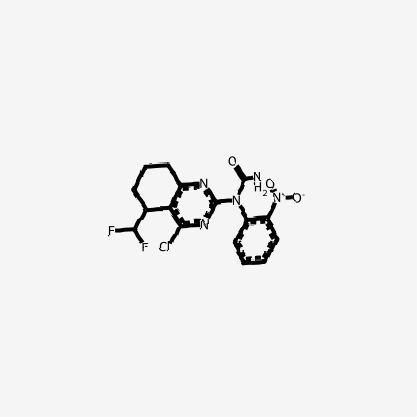 NC(=O)N(c1nc(Cl)c2c(n1)CCCC2C(F)F)c1ccccc1[N+](=O)[O-]